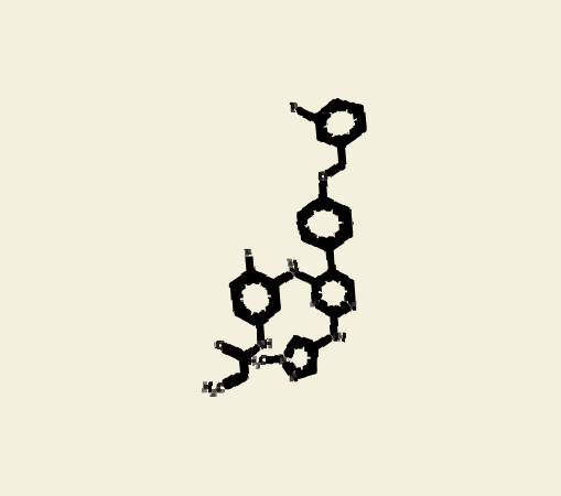 C=CC(=O)Nc1ccc(F)c(Nc2nc(Nc3cnn(C)c3)ncc2-c2ccc(OCc3cccc(F)c3)cc2)c1